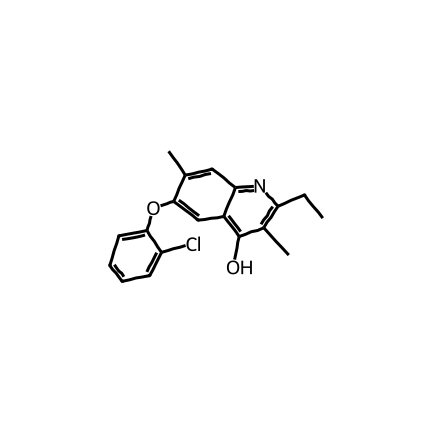 CCc1nc2cc(C)c(Oc3ccccc3Cl)cc2c(O)c1C